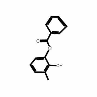 Cc1cccc(OC(=O)c2ccccc2)c1O